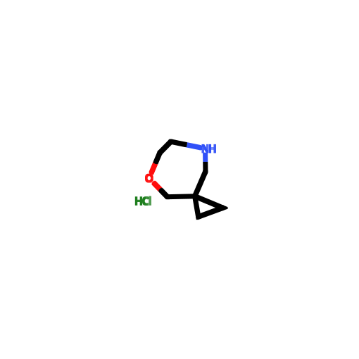 C1COCC2(CC2)CN1.Cl